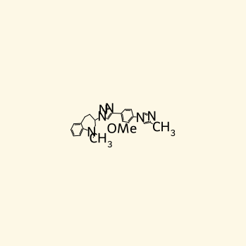 COc1cc(-c2cn(C3CCc4ccccc4N(C)C3)nn2)ccc1-n1cnc(C)c1